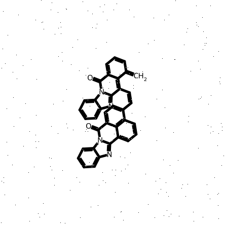 C=c1cccc2c(=O)n3c(nc4ccccc43)c(/C=C\c3ccc4c(=O)n5c6ccccc6nc5c5cccc3c45)c12